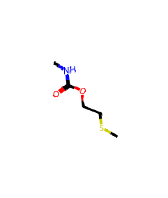 CNC(=O)OCCSC